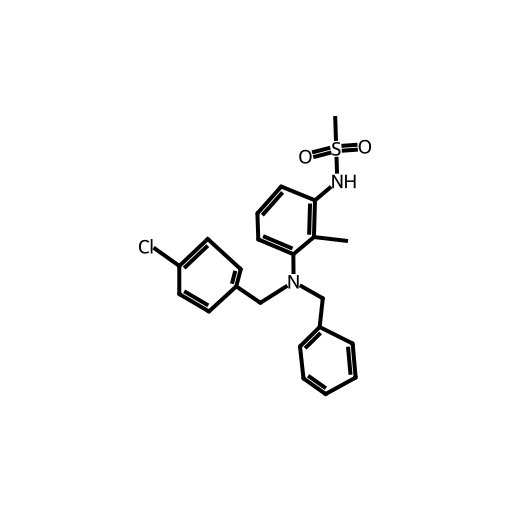 Cc1c(NS(C)(=O)=O)cccc1N(Cc1ccccc1)Cc1ccc(Cl)cc1